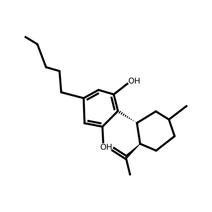 C=C(C)[C@@H]1CCC(C)C[C@H]1c1c(O)cc(CCCCC)cc1O